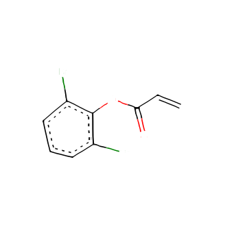 C=CC(=O)Oc1c(Br)cccc1Br